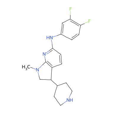 CN1CC(C2CCNCC2)c2ccc(Nc3ccc(F)c(F)c3)nc21